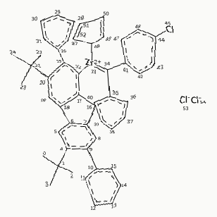 CC(C)(C)c1cc2c(cc1-c1ccccc1)Cc1c-2cc(C(C)(C)C)c(-c2ccccc2)[c]1[Zr+2](=[C](c1ccccc1)c1ccc(Cl)cc1)[CH]1C=CC=C1.[Cl-].[Cl-]